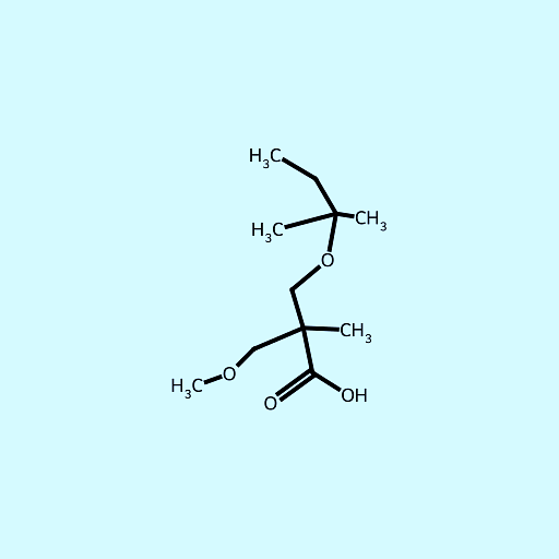 CCC(C)(C)OCC(C)(COC)C(=O)O